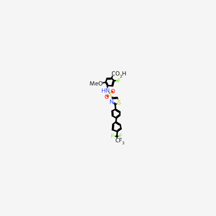 COc1cc(C(=O)O)c(F)cc1NS(=O)(=O)c1csc(-c2ccc(-c3ccc(C(F)(F)C(F)(F)F)cc3)cc2)n1